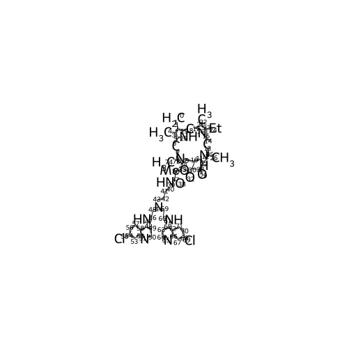 C=Cc1c(C)c2cc3nc(c4c5[nH]c(cc6nc(cc1[nH]2)C(C)=C6CC)c(C)c5C(=O)[C@@H]4C(=O)OC)[C@@H](CCC(=O)NCCCCN(CCNc1ccnc2cc(Cl)ccc12)CCNc1ccnc2cc(Cl)ccc12)[C@@H]3C